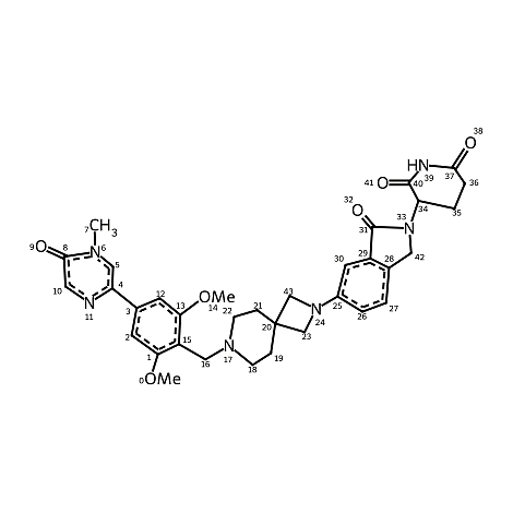 COc1cc(-c2cn(C)c(=O)cn2)cc(OC)c1CN1CCC2(CC1)CN(c1ccc3c(c1)C(=O)N(C1CCC(=O)NC1=O)C3)C2